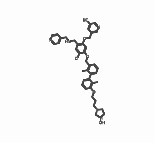 Cc1c(COc2cc(OCc3cncc(C#N)c3)c(CNCc3ccncc3)cc2Cl)cccc1-c1cccc(OCCCN2CC[C@@H](O)C2)c1C